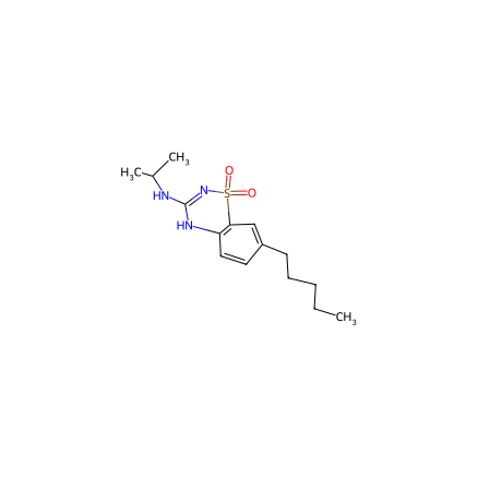 CCCCCc1ccc2c(c1)S(=O)(=O)N=C(NC(C)C)N2